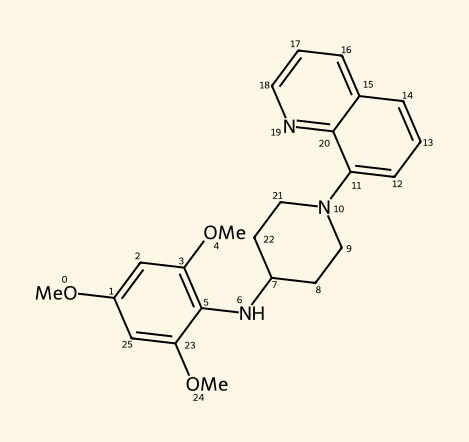 COc1cc(OC)c(NC2CCN(c3cccc4cccnc34)CC2)c(OC)c1